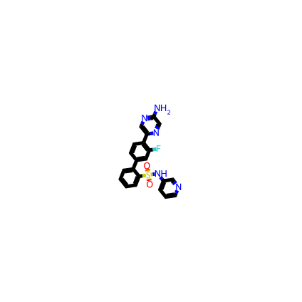 Nc1cnc(-c2ccc(-c3ccccc3S(=O)(=O)Nc3cccnc3)cc2F)cn1